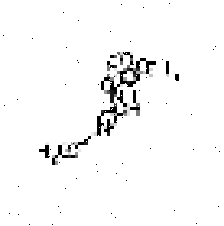 COCCCCN1CCC(O)(CNC(=O)c2ccc(OC)c3c2OCCCO3)CC1